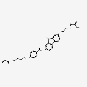 C=CC(=O)OCCCCOc1ccc(C(=O)Oc2ccc3c(c2)C(C)c2cc(OCCOC(=O)C(=C)CO)ccc2-3)cc1